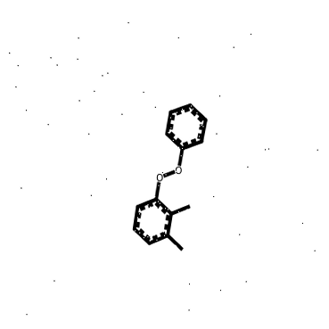 Cc1cccc(OOc2ccccc2)c1C